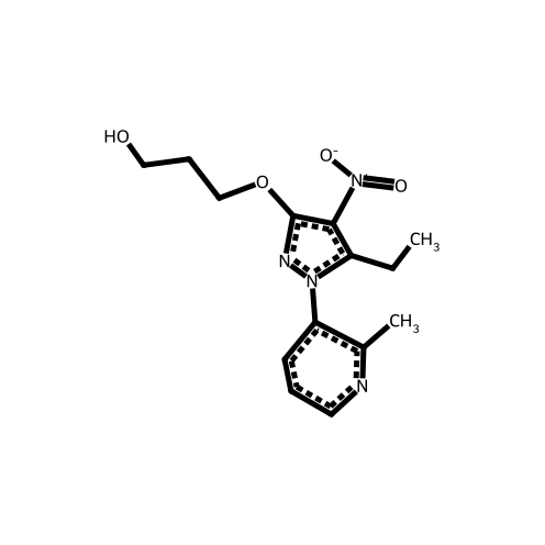 CCc1c([N+](=O)[O-])c(OCCCO)nn1-c1cccnc1C